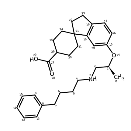 C[C@@H](CNCCCCc1ccccc1)Oc1ccc2c(c1)C1(CC2)CCC(C(=O)O)CC1